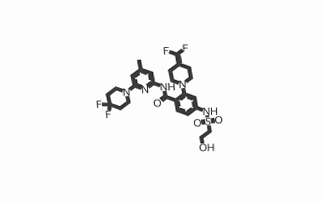 Cc1cc(NC(=O)c2ccc(NS(=O)(=O)CCO)cc2N2CCC(=C(F)F)CC2)nc(N2CCC(F)(F)CC2)c1